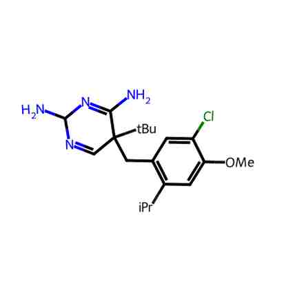 COc1cc(C(C)C)c(CC2(C(C)(C)C)C=NC(N)N=C2N)cc1Cl